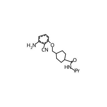 CC(C)NC(=O)C1CCC(COc2cccc(N)c2C#N)CC1